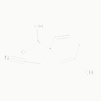 CC1=CC(CC#N)(C(=O)O)C=CC1